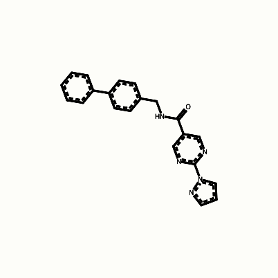 O=C(NCc1ccc(-c2ccccc2)cc1)c1cnc(-n2cccn2)nc1